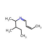 C/C=C\C=N/C(C)C(C)CC